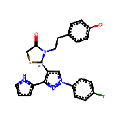 O=C1CS[C@H](c2cn(-c3ccc(F)cc3)nc2-c2ccc[nH]2)N1CCc1ccc(O)cc1